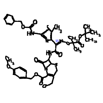 COc1ccc(COC(=O)C2=C(CCl)CSC3C(NC(=O)/C(=N\OC(C)(C)C(=O)OC(C)(C)C)c4nc(NC(=O)OCc5ccccc5)sc4C)C(=O)N23)cc1